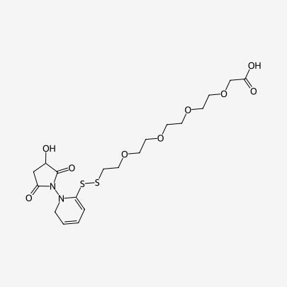 O=C(O)COCCOCCOCCOCCSSC1=CC=CCN1N1C(=O)CC(O)C1=O